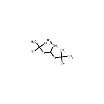 CCC(C)(C)OC(OC(C)(C)CC)[SiH2]O